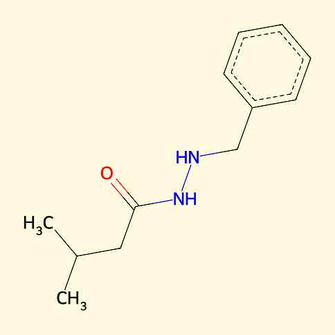 CC(C)CC(=O)NNCc1ccccc1